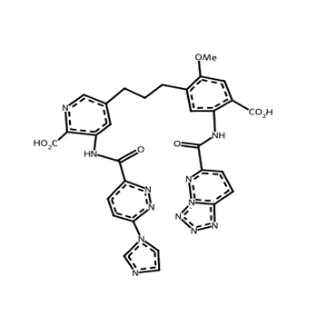 COc1cc(C(=O)O)c(NC(=O)c2ccc3nnnn3n2)cc1CCCc1cnc(C(=O)O)c(NC(=O)c2ccc(-n3ccnc3)nn2)c1